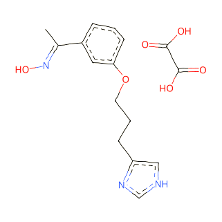 CC(=NO)c1cccc(OCCCc2c[nH]cn2)c1.O=C(O)C(=O)O